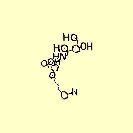 CC(=O)O.N#Cc1cccc(CCCCOc2ccc(CCNC[C@H](O)c3ccc(O)c(CO)c3)cc2)c1